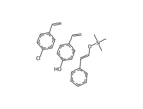 C=Cc1ccc(Cl)cc1.C=Cc1ccc(O)cc1.C[Si](C)(C)OC=Cc1ccccc1